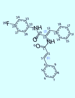 O=C(/C=C/c1ccccc1)N/C(=C\c1ccccc1)C(=O)Nc1ccc(F)cc1